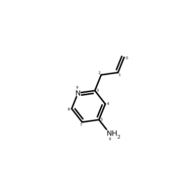 C=CCc1cc(N)ccn1